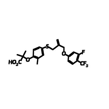 C=C(COc1ccc(C(F)(F)F)c(F)c1)CSc1ccc(OC(C)(C)C(=O)O)c(C)c1